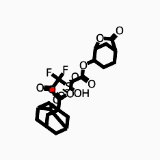 O=C(COC(=O)C12CC3CC(C1)C(OC(=O)C(F)(F)S(=O)(=O)O)C(C3)C2)OC1CCC2CC1OC2=O